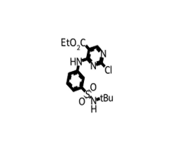 CCOC(=O)c1cnc(Cl)nc1Nc1cccc(S(=O)(=O)NC(C)(C)C)c1